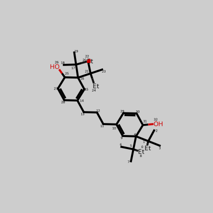 CCC(C)(C)C1(C(C)(C)CC)C=C(CCCC2=CC(C(C)(C)CC)(C(C)(C)CC)C(O)C=C2)C=CC1O